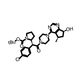 C[C@@H]1C[C@H](O)c2ncnc(N3CCN(C(=O)[C@@H](c4ccc(Cl)cc4)C4CCCN4C(=O)OC(C)(C)C)CC3)c21